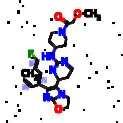 C\C=C/C(=C\C=C\F)c1nc2n(c1C1CC=NC(NC3CCN(C(=O)COC)CC3)=N1)CCO2